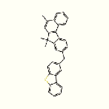 Cc1cc2c(c3ccccc13)-c1ccc(Cc3ccc4sc5ccccc5c4c3)cc1C2(C)C